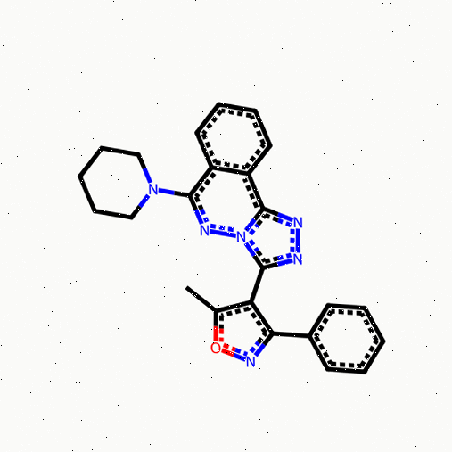 Cc1onc(-c2ccccc2)c1-c1nnc2c3ccccc3c(N3CCCCC3)nn12